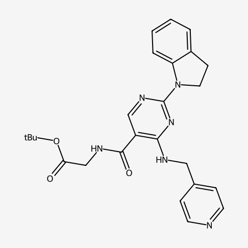 CC(C)(C)OC(=O)CNC(=O)c1cnc(N2CCc3ccccc32)nc1NCc1ccncc1